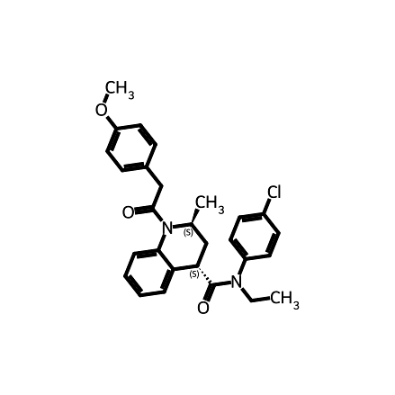 CCN(C(=O)[C@H]1C[C@H](C)N(C(=O)Cc2ccc(OC)cc2)c2ccccc21)c1ccc(Cl)cc1